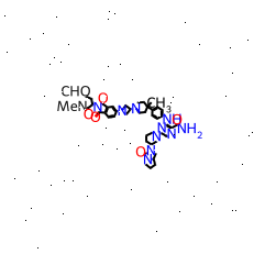 CNC(=O)C(CCC=O)N1C(=O)c2ccc(N3CC(N4CCC(C)(c5ccc(Nc6nc(N7CCCC(N8CC9CCCN9C8=O)C7)cnc6C(N)=O)cc5)CC4)C3)cc2C1=O